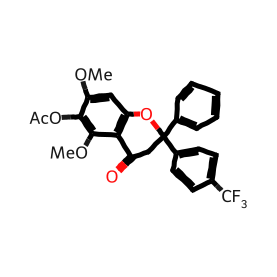 COc1cc2c(c(OC)c1OC(C)=O)C(=O)CC(c1ccccc1)(c1ccc(C(F)(F)F)cc1)O2